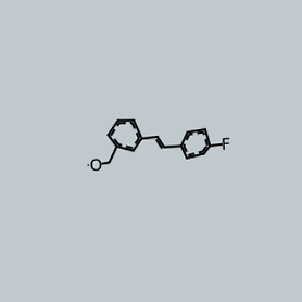 [O]Cc1cccc(C=Cc2ccc(F)cc2)c1